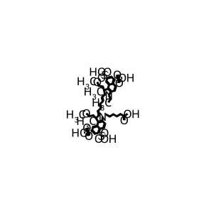 CCN1c2ccc3c(S(=O)(=O)O)cc(S(=O)(=O)O)cc3c2C(C)(CCOC)C1C=CC=CC=C1N(CCCCCC(=O)O)c2ccc3c(S(=O)(=O)O)cc(S(=O)(=O)O)cc3c2C1(C)CCOC